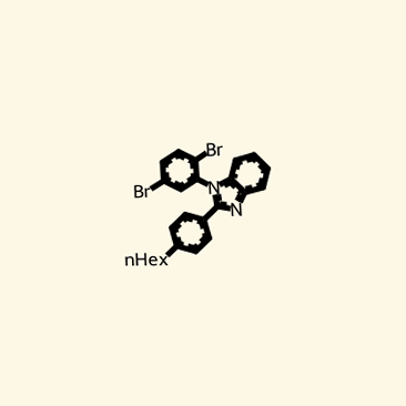 CCCCCCc1ccc(-c2nc3ccccc3n2-c2cc(Br)ccc2Br)cc1